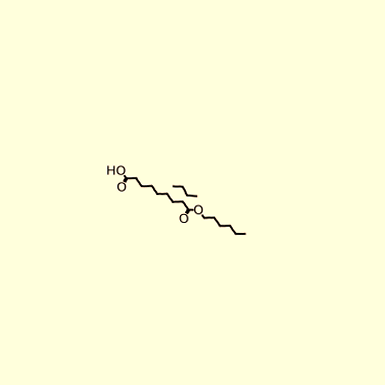 CCCC.CCCCCCOC(=O)CCCCCCCC(=O)O